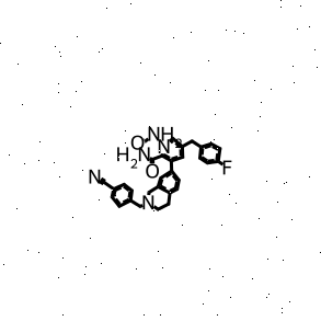 N#Cc1ccc(CN2CCc3ccc(-c4cc(Cc5ccc(F)cc5)cnc4C(N)=O)cc3C2)cc1.NC=O